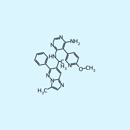 COc1ccc(-c2c(N)ncnc2N[C@@H](C)c2cc3ncc(C)n3nc2-c2ccccc2)cn1